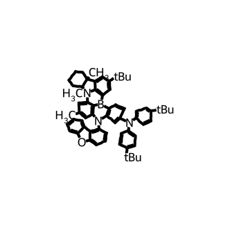 Cc1cc2c3c(c1)N1c4c(cc(C(C)(C)C)cc4C4(C)CCCCC14C)B3c1ccc(N(c3ccc(C(C)(C)C)cc3)c3ccc(C(C)(C)C)cc3)cc1N2c1cccc2oc3ccccc3c12